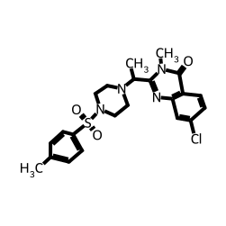 Cc1ccc(S(=O)(=O)N2CCN(C(C)c3nc4cc(Cl)ccc4c(=O)n3C)CC2)cc1